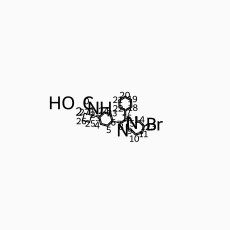 O=C(O)NC1(c2ccc(-c3nc4ccc(Br)cn4c3-c3ccccc3)cc2)CCC1